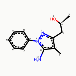 Cc1c(C[C@H](C)O)nn(-c2ccccc2)c1N